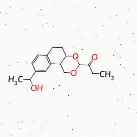 CCC(=O)C1OCC2c3cc(C(C)O)ccc3CCC2O1